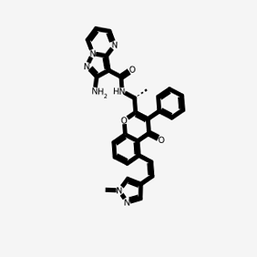 C[C@@H](NC(=O)c1c(N)nn2cccnc12)c1oc2cccc(/C=C\c3cnn(C)c3)c2c(=O)c1-c1ccccc1